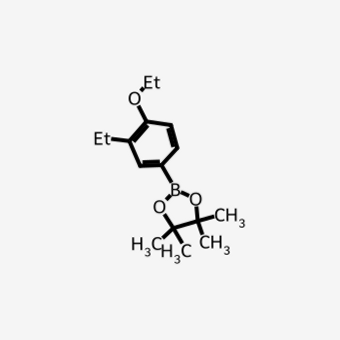 CCOc1ccc(B2OC(C)(C)C(C)(C)O2)cc1CC